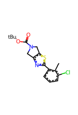 Cc1c(Cl)cccc1-c1nc2c(s1)CN(C(=O)OC(C)(C)C)C2